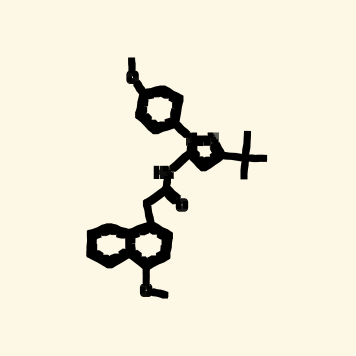 COc1ccc(-n2nc(C(C)(C)C)cc2NC(=O)Cc2ccc(OC)c3ccccc23)cc1